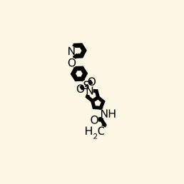 C=CC(=O)NC1CC2CN(S(=O)(=O)c3ccc(Oc4ccccn4)cc3)CC2C1